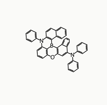 c1ccc(N2c3cccc4c3B(c3c2ccc2ccccc32)c2c(cc(N(c3ccccc3)c3ccccc3)c3ccccc23)O4)cc1